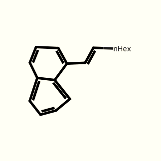 CCCCCCC=Cc1cccc2ccccc12